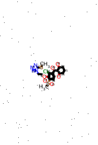 CSc1nnnn1CCOc1c(S(C)(=O)=O)ccc(C(=O)C2C(=O)CCCC2=O)c1Cl